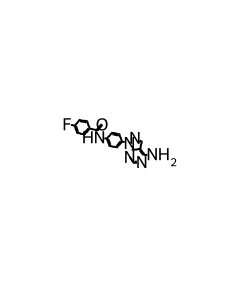 Nc1ncnc2c1cnn2-c1ccc(NC(=O)c2ccc(F)cc2)cc1